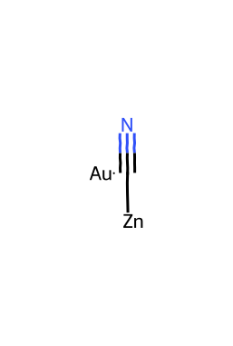 N#[C][Zn].[Au]